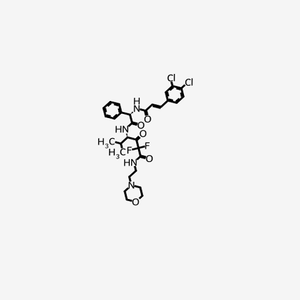 CC(C)[C@H](NC(=O)[C@@H](NC(=O)/C=C/c1ccc(Cl)c(Cl)c1)c1ccccc1)C(=O)C(F)(F)C(=O)NCCN1CCOCC1